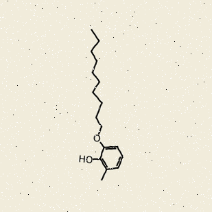 CCCCCCCCCCOc1cccc(C)c1O